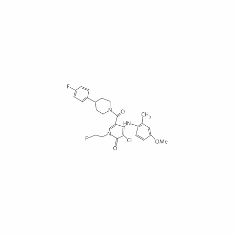 COc1ccc(Nc2c(C(=O)N3CCC(c4ccc(F)cc4)CC3)cn(CCF)c(=O)c2Cl)c(C)c1